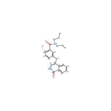 CCCN(CCC)C(=O)c1cc(Cc2n[nH]c(=O)c3ccccc23)ccc1F